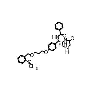 COc1ccccc1COCCCOc1ccc(C(NC(=O)c2ccccc2)[C@H]2CNCC(=O)N2)cc1